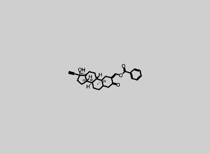 C#C[C@@]1(O)CC[C@H]2[C@@H]3CCC4CC(=O)C(=COC(=O)c5ccccc5)C[C@]4(C)[C@H]3CC[C@@]21C